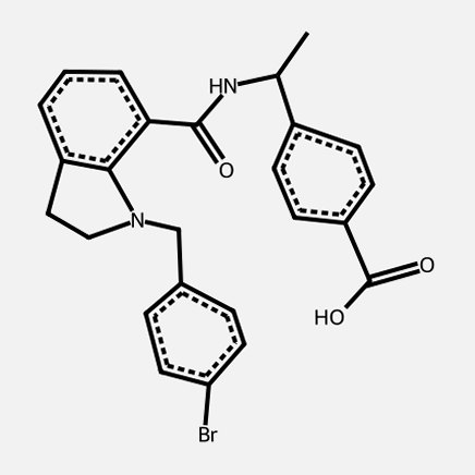 CC(NC(=O)c1cccc2c1N(Cc1ccc(Br)cc1)CC2)c1ccc(C(=O)O)cc1